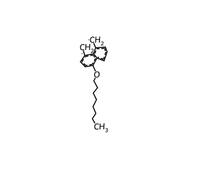 [CH2]c1cccc2c(OCCCCCCCC)ccc([CH2])c12